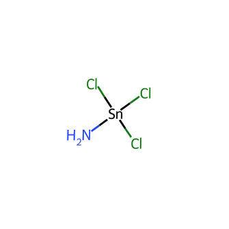 [NH2][Sn]([Cl])([Cl])[Cl]